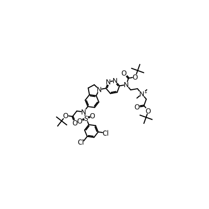 CC(C)(C)OC(=O)CN(c1ccc2c(c1)CCN2c1ccc(N(CC[N+](C)(C)CC(=O)OC(C)(C)C)C(=O)OC(C)(C)C)nn1)S(=O)(=O)c1cc(Cl)cc(Cl)c1